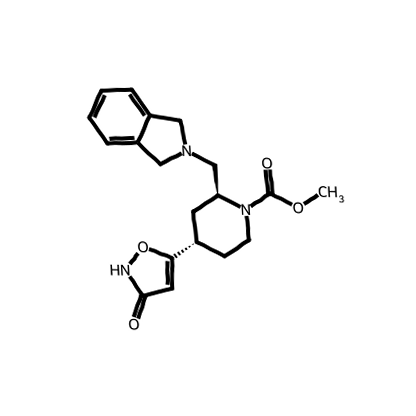 COC(=O)N1CC[C@H](c2cc(=O)[nH]o2)C[C@H]1CN1Cc2ccccc2C1